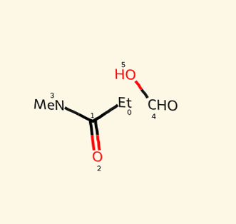 CCC(=O)NC.O=CO